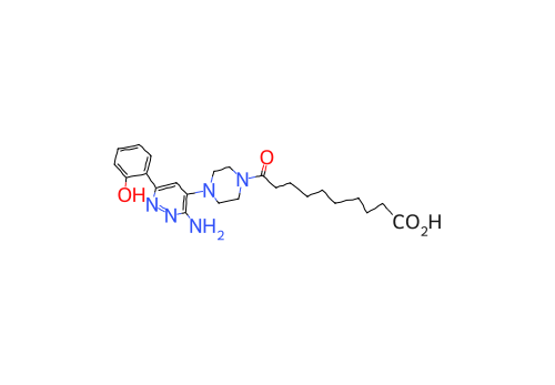 Nc1nnc(-c2ccccc2O)cc1N1CCN(C(=O)CCCCCCCCC(=O)O)CC1